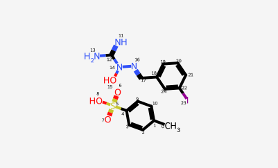 Cc1ccc(S(=O)(=O)O)cc1.N=C(N)N(O)/N=C/c1cccc(I)c1